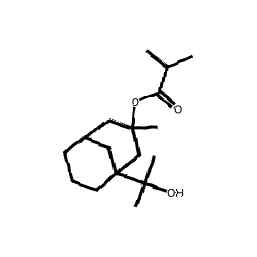 CC(C)C(=O)OC1(C)CC2CCCC(C(C)(C)O)(C2)C1